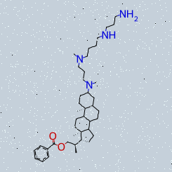 C[C@@H](COC(=O)c1ccccc1)[C@H]1CCC2C3CCC4CC(N(C)CCCN(C)CCCCNCCCN)CC[C@]4(C)C3CC[C@@]21C